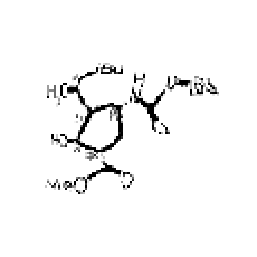 CCC(C)[C@H](C)[C@@H]1[C@H](O)[C@@H](C(=O)OC)C[C@H]1NC(=O)OC(C)(C)C